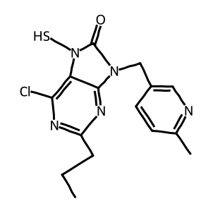 CCCc1nc(Cl)c2c(n1)n(Cc1ccc(C)nc1)c(=O)n2S